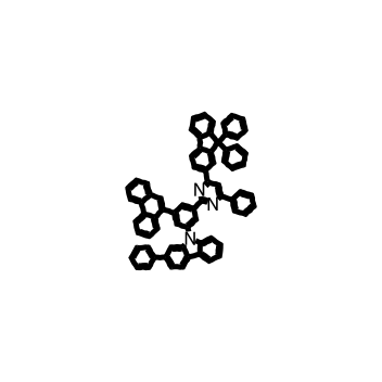 c1ccc(-c2ccc3c4ccccc4n(-c4cc(-c5nc(-c6ccccc6)cc(-c6ccc7c(c6)C(c6ccccc6)(c6ccccc6)c6ccccc6-7)n5)cc(-c5cc6ccccc6c6ccccc56)c4)c3c2)cc1